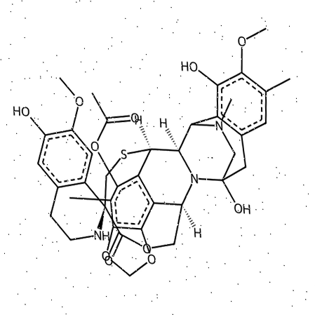 COc1cc2c(cc1O)CCN[C@]21CS[C@@H]2c3c(OC(C)=O)c(C)c4c(c3[C@H](COC1=O)N1[C@@H]2C2c3c(cc(C)c(OC)c3O)CC1(O)CN2C)OCO4